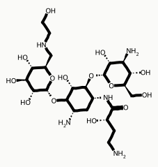 NCC[C@H](O)C(=O)N[C@@H]1C[C@H](N)C(O[C@H]2O[C@H](CNCCO)[C@@H](O)[C@H](O)[C@H]2O)[C@H](O)[C@H]1O[C@H]1O[C@H](CO)[C@@H](O)[C@H](N)[C@H]1O